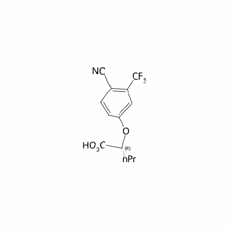 CCC[C@@H](Oc1ccc(C#N)c(C(F)(F)F)c1)C(=O)O